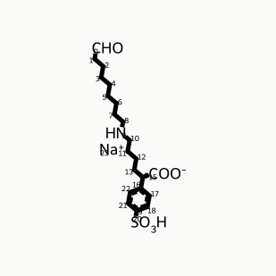 O=CCCCCCCCCNCCCCC(C(=O)[O-])c1ccc(S(=O)(=O)O)cc1.[Na+]